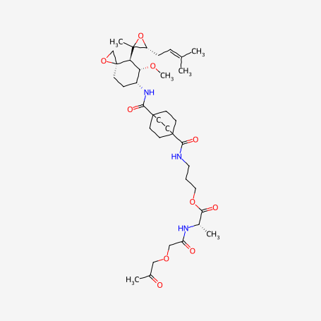 CO[C@H]1[C@H](C2(C)O[C@@H]2CC=C(C)C)[C@]2(CC[C@H]1NC(=O)C13CCC(C(=O)NCCCOC(=O)[C@H](C)NC(=O)COCC(C)=O)(CC1)CC3)CO2